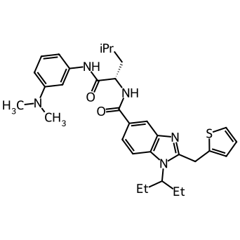 CCC(CC)n1c(Cc2cccs2)nc2cc(C(=O)N[C@@H](CC(C)C)C(=O)Nc3cccc(N(C)C)c3)ccc21